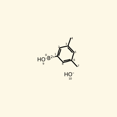 [B+2]c1cc(C)cc(C)c1.[OH-].[OH-]